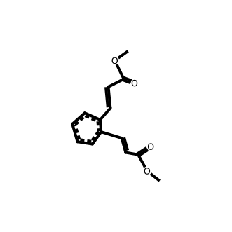 COC(=O)/C=C/c1ccccc1/C=C/C(=O)OC